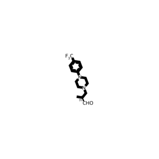 C[C@H](C=O)CN1CCN(c2ccc(C(F)(F)F)cc2)CC1